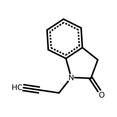 C#CCN1C(=O)Cc2ccccc21